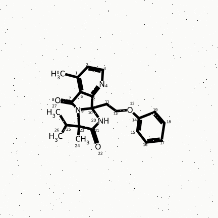 Cc1ccnc2c1C(=O)N1C2(CCOc2ccccc2)NC(=O)C1(C)C(C)C